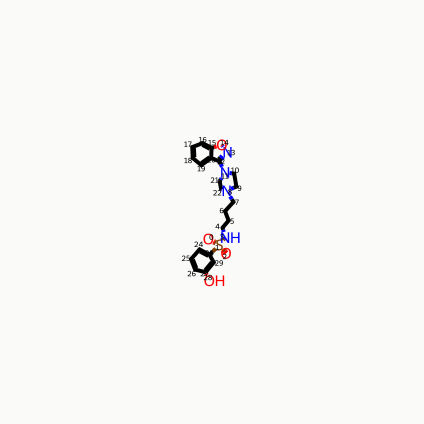 O=S(=O)(NCCCCN1CCN(c2noc3ccccc23)CC1)c1cccc(O)c1